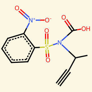 C#CC(C)N(C(=O)O)S(=O)(=O)c1ccccc1[N+](=O)[O-]